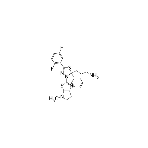 CN1CCc2nc(N3N=C(c4cc(F)ccc4F)SC3(CCCN)c3ccccc3)sc21